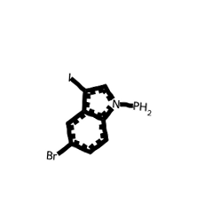 Pn1cc(I)c2cc(Br)ccc21